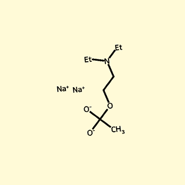 CCN(CC)CCOC(C)([O-])[O-].[Na+].[Na+]